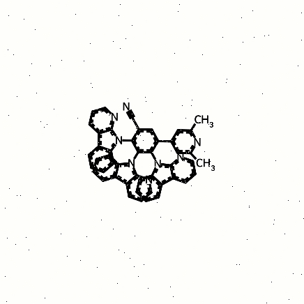 Cc1cc(-c2cc(C#N)c(-n3c4ccccc4c4cccnc43)c(-n3c4ccccc4c4cccnc43)c2-n2c3ccccc3c3cccnc32)cc(C)n1